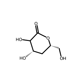 O=C1O[C@H](CO)C[C@H](O)C1O